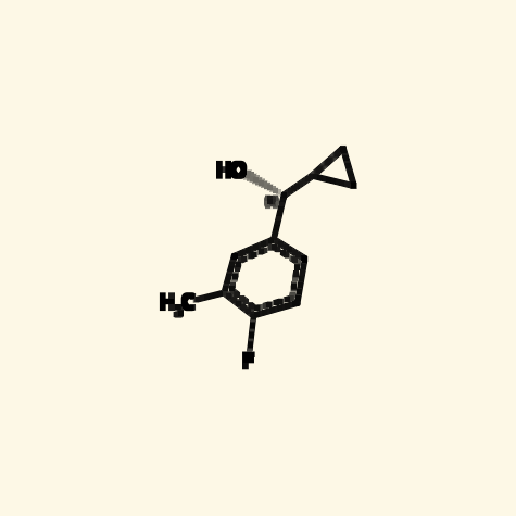 Cc1cc([C@H](O)C2CC2)ccc1F